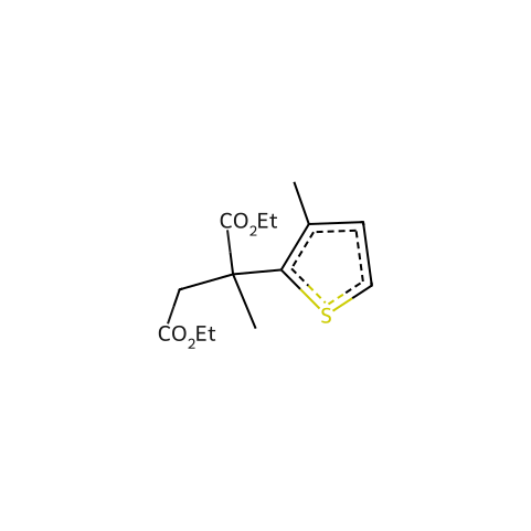 CCOC(=O)CC(C)(C(=O)OCC)c1sccc1C